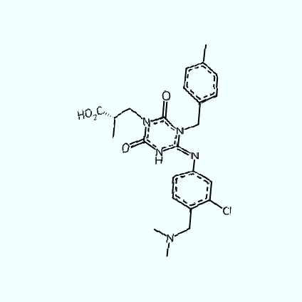 Cc1ccc(Cn2c(=O)n(C[C@H](C)C(=O)O)c(=O)[nH]/c2=N\c2ccc(CN(C)C)c(Cl)c2)cc1